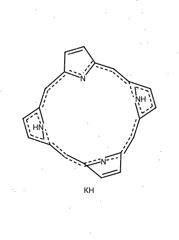 C1=Cc2cc3ccc(cc4nc(cc5ccc(cc1n2)[nH]5)C=C4)[nH]3.[KH]